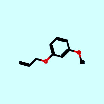 C=CCOc1cccc(OCC)c1